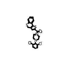 O=C(c1cc2c(s1)-c1ccccc1SC2)N1CCN(c2c(Cl)cccc2Cl)CC1